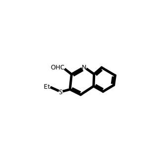 CCSc1cc2ccccc2nc1C=O